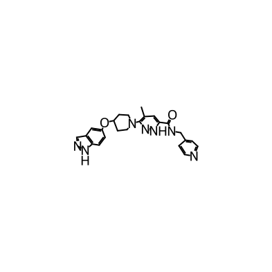 Cc1cc(C(=O)NCc2ccncc2)nnc1N1CCC(Oc2ccc3[nH]ncc3c2)CC1